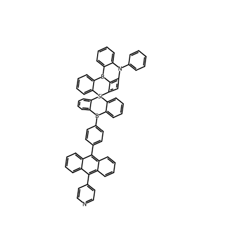 c1ccc(N2c3ccccc3B3c4ccccc4[Si]4(c5ccccc5B(c5ccc(-c6c7ccccc7c(-c7ccncc7)c7ccccc67)cc5)c5ccccc54)c4cccc2c43)cc1